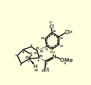 CCC(=NOC)[C@@H]1[C@@H]2CCC(C[C@@H]1c1ccc(Cl)c(Cl)c1)S2